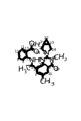 Cc1cc(C(C)Nc2ccccc2C(=O)O)c2nc(N3CC4CC4C3)n(C)c(=O)c2c1